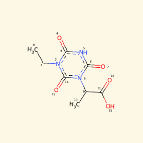 CCn1c(=O)[nH]c(=O)n(C(C)C(=O)O)c1=O